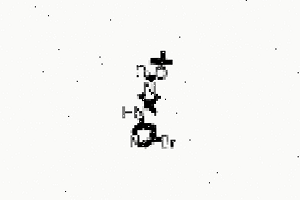 CC1(Nc2cncc(Br)c2)CN(C(=O)OC(C)(C)C)C1